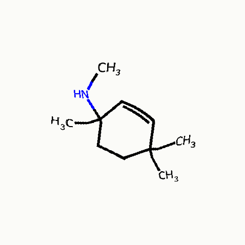 CNC1(C)C=CC(C)(C)CC1